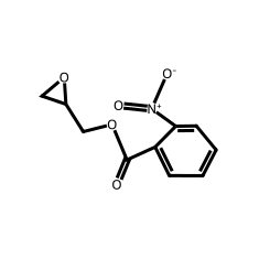 O=C(OCC1CO1)c1ccccc1[N+](=O)[O-]